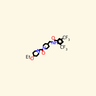 CCOC1CCN(CC(=O)N2CCC(CNC(=O)c3cc(C(F)(F)F)cc(C(F)(F)F)c3)CC2)CC1